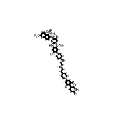 CCc1cc(Nc2ncc(Br)c(Nc3ccc4nc(C(F)(F)F)ccc4c3P(C)(C)=O)n2)c(OC)cc1N1CCC(NCCNCCC2CCN(c3cc(F)c(C4CCC(=O)NC4=O)c(F)c3)CC2)CC1